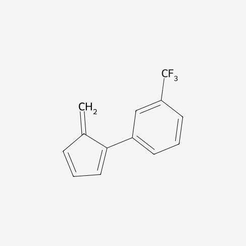 C=C1C=CC=C1c1cccc(C(F)(F)F)c1